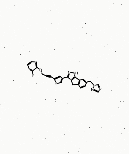 Fc1ccccc1OCC#Cc1cc(-c2n[nH]c3c2Cc2ccc(Cn4cncn4)cc2-3)cs1